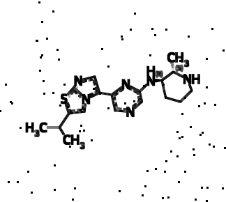 CC(C)c1cn2c(-c3cncc(N[C@@H]4CCCN[C@H]4C)n3)cnc2s1